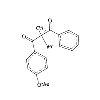 COc1ccc(C(=O)C(C)(C(=O)c2ccccc2)C(C)C)cc1